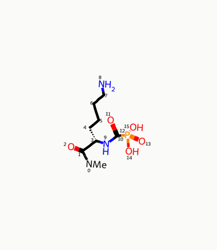 CNC(=O)[C@H](CCCCN)NC(=O)P(=O)(O)O